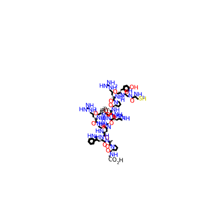 CC[C@H](C)[C@H](NC(=O)[C@H](CC(N)=O)NC(=O)[C@H](Cc1c[nH]cn1)NC(=O)[C@@H](NC(=O)[C@@H]1CCCN1C(=O)[C@H](CCCNC(=N)N)NC(=O)[C@H](Cc1ccc(O)cc1)NC(=O)CNC(=O)[C@@H](N)CS)C(C)C)C(=O)N[C@@H](CCCNC(=N)N)C(=O)NCC(=O)N[C@@H](Cc1c[nH]cn1)C(=O)N[C@@H](Cc1c[nH]c2ccccc12)C(=O)N[C@@H](C)C(=O)N1CCC[C@H]1C(=O)NCC(=O)O